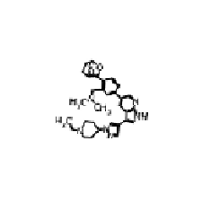 CCN1CCC(n2cc(-c3c[nH]c4ncc(-c5ccc(N6CC7CCC6CO7)c(CN(C)C)c5)cc34)cn2)CC1